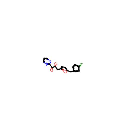 O=C(Cc1ccc(Cc2ccc(F)cc2)o1)C(=O)c1ncccn1